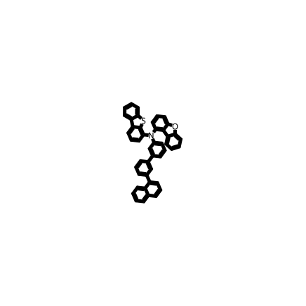 c1cc(-c2cccc(N(c3cccc4c3sc3ccccc34)c3cccc4oc5ccccc5c34)c2)cc(-c2cccc3ccccc23)c1